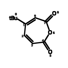 CC(C)(C)c1ccc(=O)oc(=O)c1